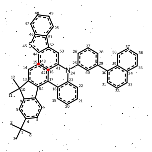 CC(C)(C)c1ccc2c(c1)C(C)(C)c1cccc(-c3ccccc3N(c3cccc(-c4cccc5ccccc45)c3)c3ccc4sc5ccccc5c4c3)c1-2